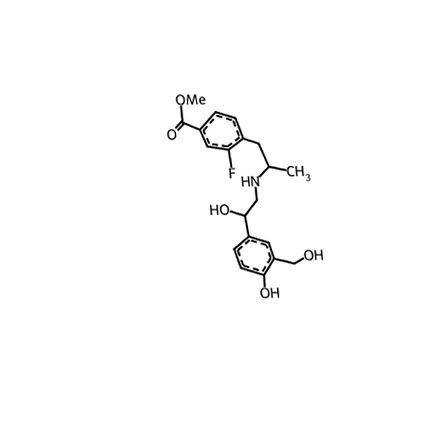 COC(=O)c1ccc(CC(C)NCC(O)c2ccc(O)c(CO)c2)c(F)c1